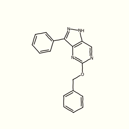 c1ccc(COc2ncc3[nH]nc(-c4ccccc4)c3n2)cc1